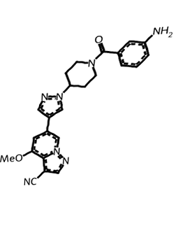 COc1cc(-c2cnn(C3CCN(C(=O)c4cccc(N)c4)CC3)c2)cn2ncc(C#N)c12